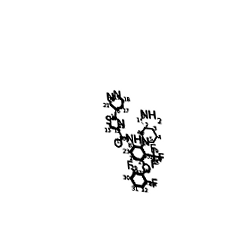 NC[C@@H]1CCCN(c2c(NC(=O)c3csc(-c4ccnnc4)n3)ccc(Oc3c(F)cccc3F)c2C(F)(F)F)C1